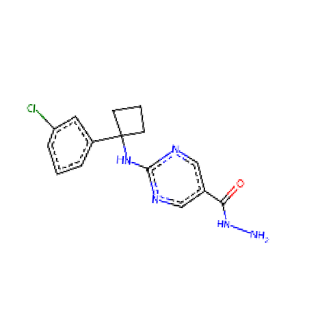 NNC(=O)c1cnc(NC2(c3cccc(Cl)c3)CCC2)nc1